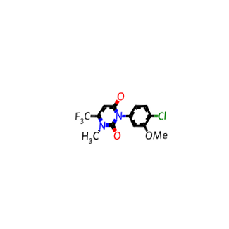 COc1cc(-n2c(=O)cc(C(F)(F)F)n(C)c2=O)ccc1Cl